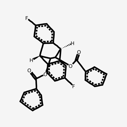 O=C(OC1C(OC(=O)c2ccccc2)[C@H]2c3ccc(F)cc3[C@H]1c1ccc(F)cc12)c1ccccc1